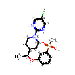 CC(Oc1c[c]cc(S(C)(=O)=O)c1)C1CCN(c2ncc(Cl)cn2)CC1